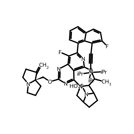 C=C1CCN2CCC[C@@]12COc1nc2c3c(nc(-c4cccc5ccc(F)c(C#C[Si](C(C)C)(C(C)C)C(C)C)c45)c(F)c3n1)OC(C)C1C3CCC(CN21)N3C(=O)O